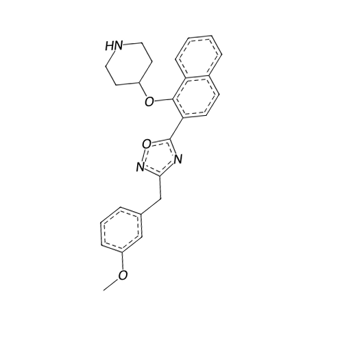 COc1cccc(Cc2noc(-c3ccc4ccccc4c3OC3CCNCC3)n2)c1